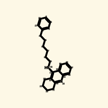 c1ccc(CCCCCCNc2c3c(nc4ccccc24)CCCC3)cc1